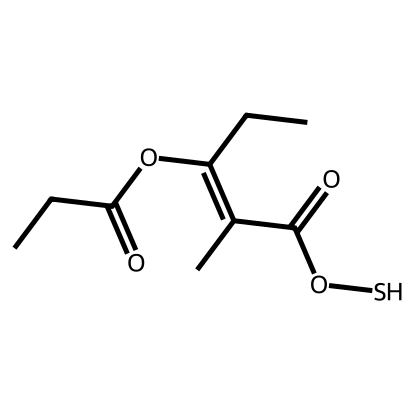 CCC(=O)OC(CC)=C(C)C(=O)OS